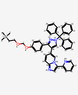 C[Si](C)(C)CCOCOc1ccc(-c2nn(C(c3ccccc3)(c3ccccc3)c3ccccc3)cc2-c2ccc3ncc(-c4ccccn4)n3c2)cc1